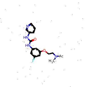 CC(=O)N(C)CCOc1cc(F)cc(NC(=O)Nc2cccnc2)c1